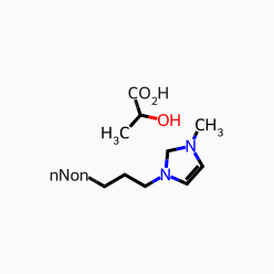 CC(O)C(=O)O.CCCCCCCCCCCCN1C=CN(C)C1